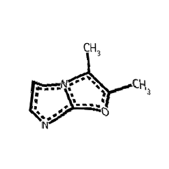 Cc1oc2nccn2c1C